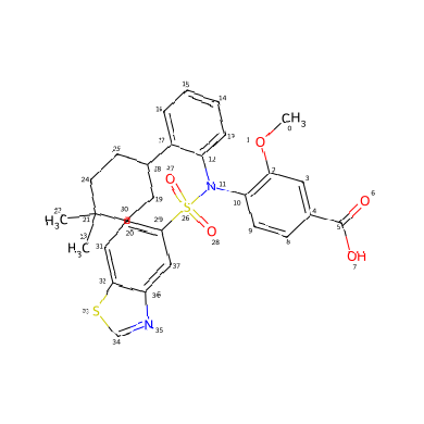 COc1cc(C(=O)O)ccc1N(c1ccccc1C1CCC(C)(C)CC1)S(=O)(=O)c1ccc2scnc2c1